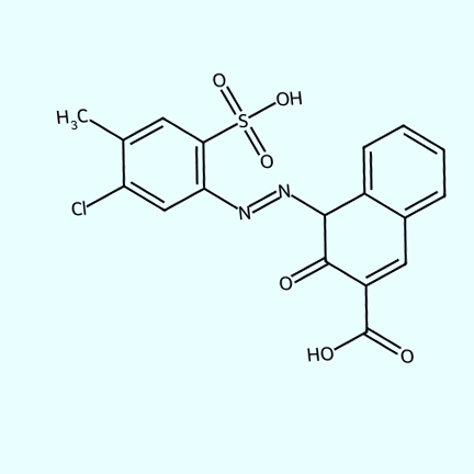 Cc1cc(S(=O)(=O)O)c(N=NC2C(=O)C(C(=O)O)=Cc3ccccc32)cc1Cl